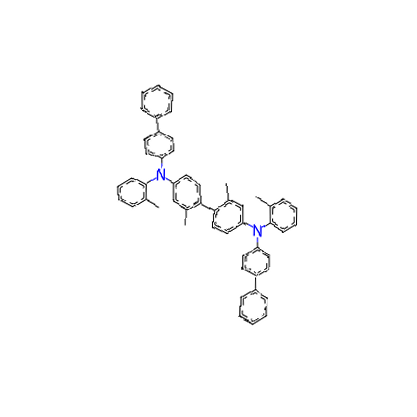 Cc1cc(N(c2ccc(-c3ccccc3)cc2)c2ccccc2C)ccc1-c1ccc(N(c2ccc(-c3ccccc3)cc2)c2ccccc2C)cc1C